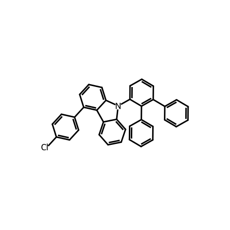 Clc1ccc(-c2cccc3c2c2ccccc2n3-c2cccc(-c3ccccc3)c2-c2ccccc2)cc1